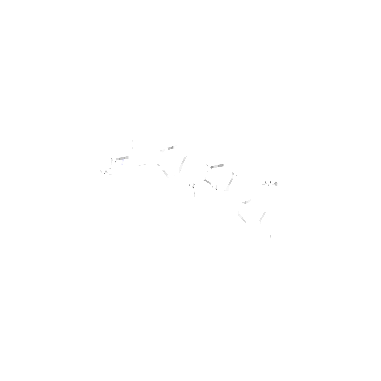 COc1cc(F)ccc1-c1ncnc(Nc2cccc(C/S(C)=N\C#N)c2)n1